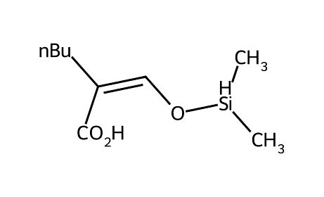 CCCCC(=CO[SiH](C)C)C(=O)O